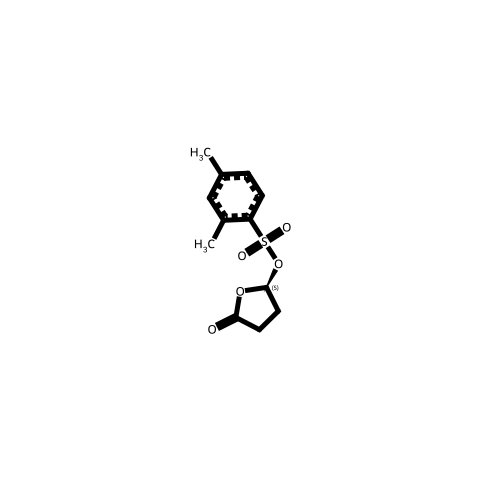 Cc1ccc(S(=O)(=O)O[C@H]2CCC(=O)O2)c(C)c1